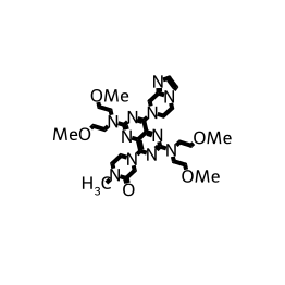 COCCN(CCOC)c1nc(N2CCn3ccnc3C2)c2nc(N(CCOC)CCOC)nc(N3CCN(C)C(=O)C3)c2n1